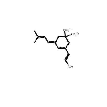 CCOC(=O)C1(C(=O)OCC)CC(/C=C/C(C)(C)C)=CC(=C/C=C(C)C)/C1